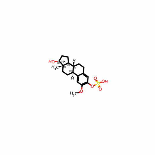 COc1cc2c(cc1OS(=O)(=O)O)CC[C@@H]1[C@@H]2CC[C@]2(C)[C@@H](O)CC[C@@H]12